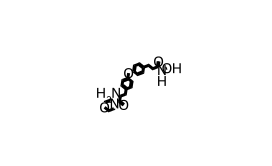 NC(Cc1ccc(Oc2ccc(CCC(=O)NO)cc2)cc1)C(=O)N1CCOCC1